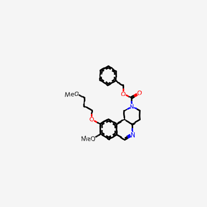 COCCCOc1cc2c(cc1OC)C=NC1CCN(C(=O)OCc3ccccc3)CC21